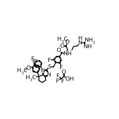 COC(=O)[C@H](CCCNC(=N)N)NC(=O)c1cc(F)c(CSc2nc3c(n2-c2ccc(F)cc2)C(C)(c2ccc(Cl)c(OC)c2)CCC3)c(F)c1.O=C(O)C(F)(F)F